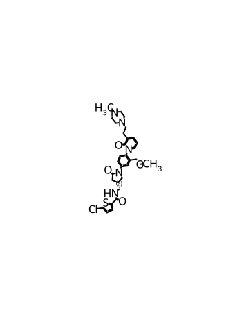 COCc1cc(N2C[C@H](CNC(=O)c3ccc(Cl)s3)CC2=O)ccc1-n1cccc(CCN2CCN(C)CC2)c1=O